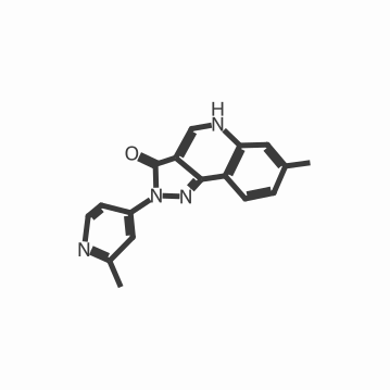 Cc1ccc2c3nn(-c4ccnc(C)c4)c(=O)c-3c[nH]c2c1